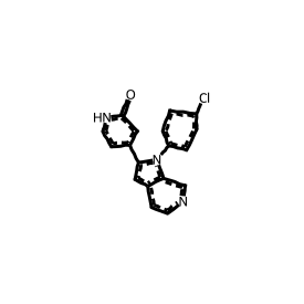 O=c1cc(-c2cc3ccncc3n2-c2ccc(Cl)cc2)cc[nH]1